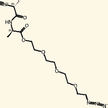 C#[N+][C@H](C)C(=O)N[C@H](C)C(=O)OCCOCCOCCOCCN=[N+]=[N-]